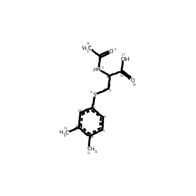 CC(=O)NC(CSc1ccc(C)c(C)c1)C(=O)O